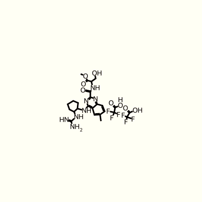 COC(=O)C(CO)NC(=O)c1nc(NC2CCCCC2NC(=N)N)c2cc(C)ccc2n1.O=C(O)C(F)(F)F.O=C(O)C(F)(F)F